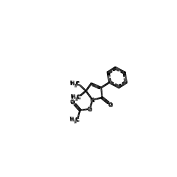 CC(=O)ON1C(=O)C(c2ccccc2)=CC1(C)C